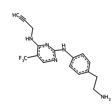 C#CCNc1nc(Nc2ccc(CCN)cc2)ncc1C(F)(F)F